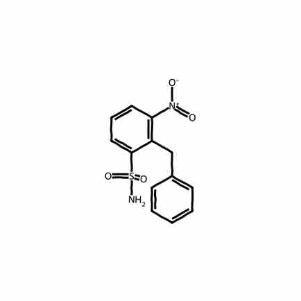 NS(=O)(=O)c1cccc([N+](=O)[O-])c1Cc1ccccc1